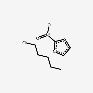 CCCCCCl.O=[N+]([O-])c1nccs1